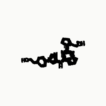 OCCC1CCC(n2cnc(Nc3nc(N4CCCC4CO)nn4cccc34)c2)CC1